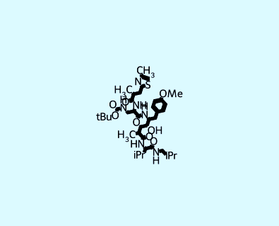 COc1ccc(CC(NC(=O)C(CNC(=O)OC(C)(C)C)NC(=O)C(C)Cc2nc(C)cs2)C(O)CC(C)C(=O)NC(C(=O)NCC(C)C)C(C)C)cc1